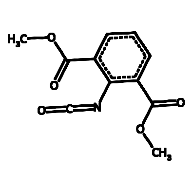 COC(=O)c1cccc(C(=O)OC)c1N=C=O